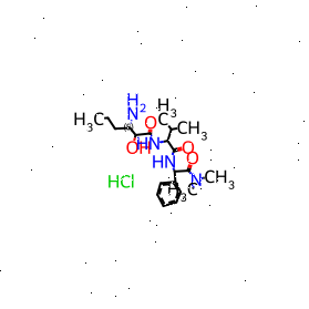 CCC[C@H](N)C(O)C(=O)NC(C(=O)NC(C(=O)N(C)C)c1ccccc1)C(C)C.Cl